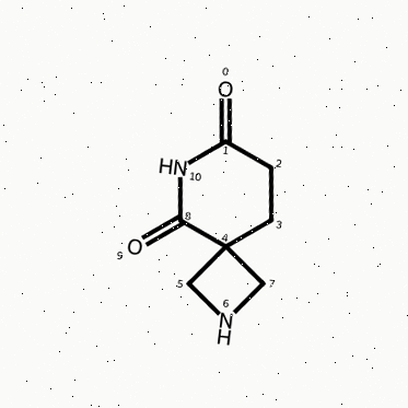 O=C1CCC2(CNC2)C(=O)N1